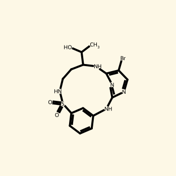 CC(O)C1CCNS(=O)(=O)c2cccc(c2)Nc2ncc(Br)c(n2)N1